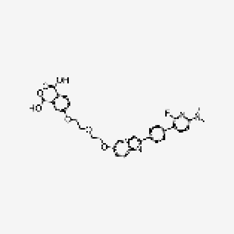 CN(C)c1ccc(-c2ccc(-c3cn4cc(OCCOCCOc5ccc(C(=O)O)c(C(=O)O)c5)ccc4n3)cc2)c(F)n1